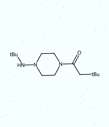 CC(C)(C)CC(=O)N1CCN(NC(C)(C)C)CC1